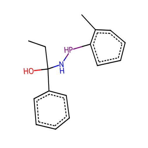 CCC(O)(NPc1ccccc1C)c1ccccc1